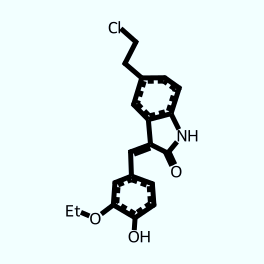 CCOc1cc(C=C2C(=O)Nc3ccc(CCCl)cc32)ccc1O